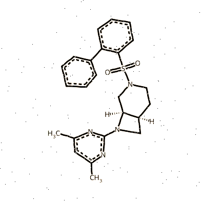 Cc1cc(C)nc(N2C[C@@H]3CCN(S(=O)(=O)c4ccccc4-c4ccccc4)C[C@@H]32)n1